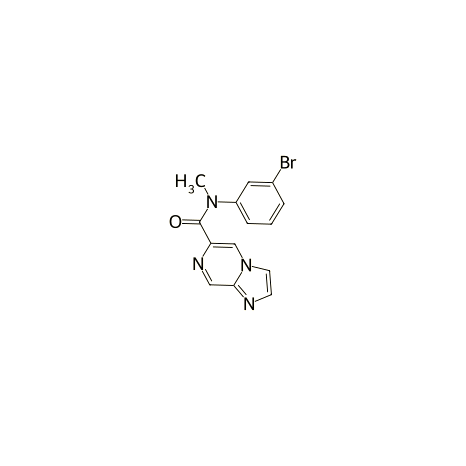 CN(C(=O)c1cn2ccnc2cn1)c1cccc(Br)c1